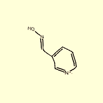 ON=CC1=CC=C[N+]=C1